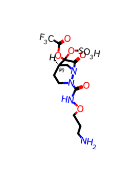 NCCCONC(=O)N1CC[C@@H]2CN1C(=O)C2(OC(=O)C(F)(F)F)OS(=O)(=O)O